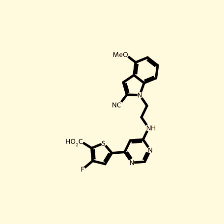 COc1cccc2c1cc(C#N)n2CCNc1cc(-c2cc(F)c(C(=O)O)s2)ncn1